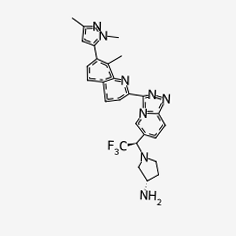 Cc1cc(-c2ccc3ccc(-c4nnc5ccc([C@@H](N6CC[C@H](N)C6)C(F)(F)F)cn45)nc3c2C)n(C)n1